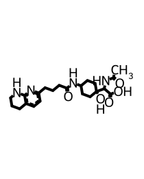 CC(=O)NC(C(=O)O)C1(O)CCC(NC(=O)CCCc2ccc3c(n2)NCCC3)CC1